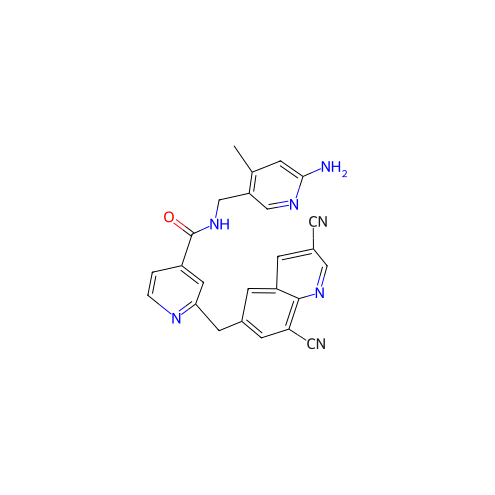 Cc1cc(N)ncc1CNC(=O)c1ccnc(Cc2cc(C#N)c3ncc(C#N)cc3c2)c1